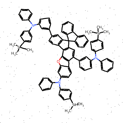 C[SiH](C)c1ccc(N(c2ccccc2)c2ccc3c(c2)oc2c4c(cc(-c5cccc(N(c6ccccc6)c6ccc([Si](C)(C)C)cc6)c5)c23)C2(c3ccccc3-c3ccccc32)c2cc(-c3cccc(N(c5ccccc5)c5ccc([Si](C)(C)C)cc5)c3)ccc2-4)cc1